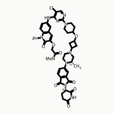 CNC(=O)COc1cc2cc(Nc3nc(N4CCC(OC5CC(N6CCN(c7ccc8c(c7)C(=O)N([C@@H]7CCC(=O)NC7=O)C8=O)[C@@H](C)C6)C5)CC4)ncc3Cl)ccc2n(C(C)C)c1=O